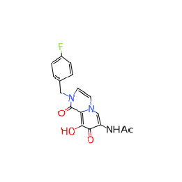 CC(=O)Nc1cn2ccn(Cc3ccc(F)cc3)c(=O)c2c(O)c1=O